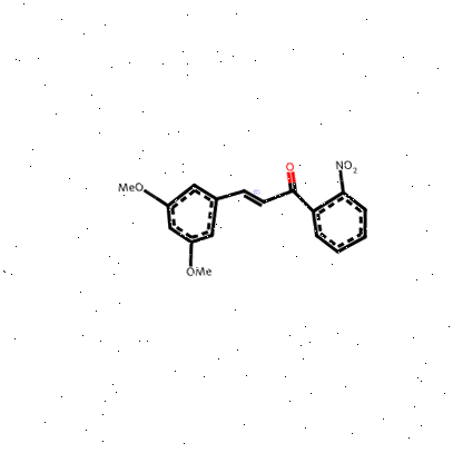 COc1cc(/C=C/C(=O)c2ccccc2[N+](=O)[O-])cc(OC)c1